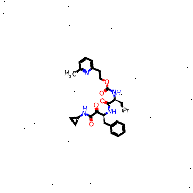 Cc1cccc(CCOC(=O)N[C@@H](CC(C)C)C(=O)N[C@@H](Cc2ccccc2)C(=O)C(=O)NC2CC2)n1